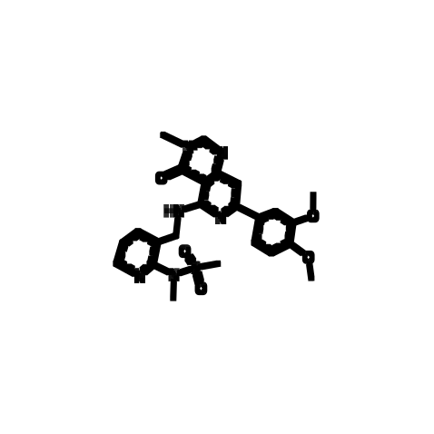 COc1ccc(-c2cc3ncn(C)c(=O)c3c(NCc3cccnc3N(C)S(C)(=O)=O)n2)cc1OC